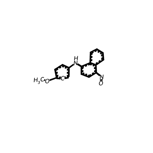 COc1ccc(Nc2ccc(N=O)c3ccccc23)cc1